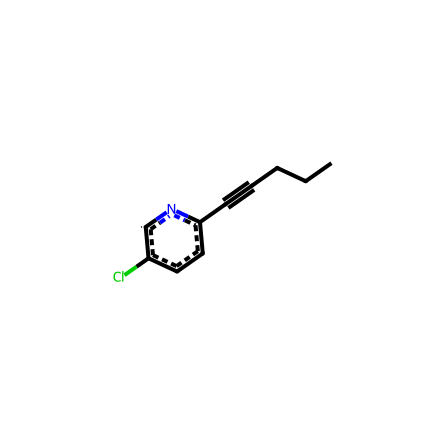 CCCC#Cc1ccc(Cl)[c]n1